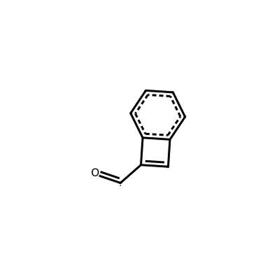 O=[C]C1=Cc2ccccc21